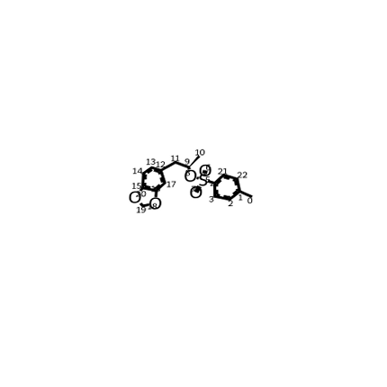 Cc1ccc(S(=O)(=O)O[C@H](C)Cc2ccc3c(c2)OCO3)cc1